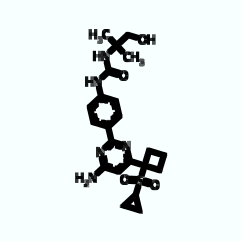 CC(C)(CO)NC(=O)Nc1ccc(-c2nc(N)cc(C3(S(=O)(=O)C4CC4)CCC3)n2)cc1